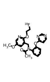 COc1cnc(OCC[18F])c(CN(C(C)=O)c2ccccc2Oc2ccncn2)c1